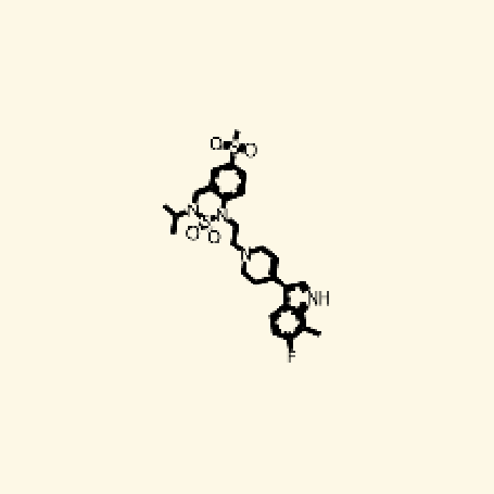 Cc1c(F)ccc2c(C3=CCN(CCN4c5ccc(S(C)(=O)=O)cc5CN(C(C)C)S4(=O)=O)CC3)c[nH]c12